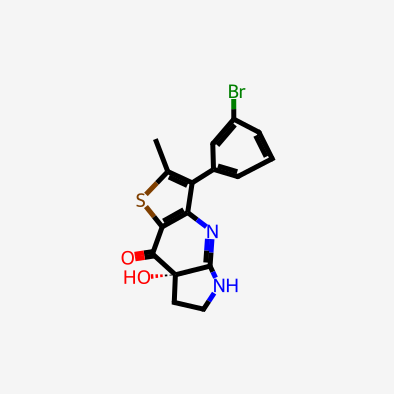 Cc1sc2c(c1-c1cccc(Br)c1)N=C1NCC[C@@]1(O)C2=O